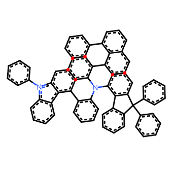 c1ccc(-c2cccc3cccc(-c4ccccc4N(c4ccccc4-c4cccc5c4c4ccccc4n5-c4ccccc4)c4cccc5c4-c4ccccc4C5(c4ccccc4)c4ccccc4)c23)cc1